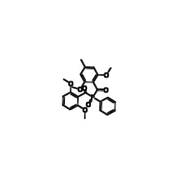 COc1cccc(OC)c1C(=O)P(=O)(C(=O)c1c(OC)cc(C)cc1OC)c1ccccc1